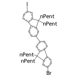 CCCCCC1(CCCCC)c2cc(Br)ccc2-c2ccc(-c3ccc4c(c3)C(CCCCC)(CCCCC)c3cc(I)ccc3-4)cc21